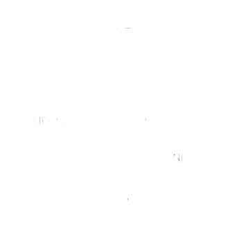 Cc1ccc2c(N)c(O)cc(S(=O)(=O)O)c2c1